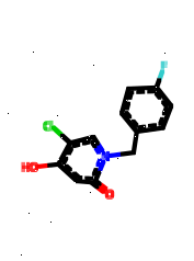 O=c1cc(O)c(Cl)cn1Cc1ccc(F)cc1